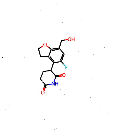 O=C1CCC(c2c(F)cc(CO)c3c2CCO3)C(=O)N1